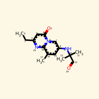 CCc1cc(=O)n2cc(NC(C)(C)C=O)cc(C)c2n1